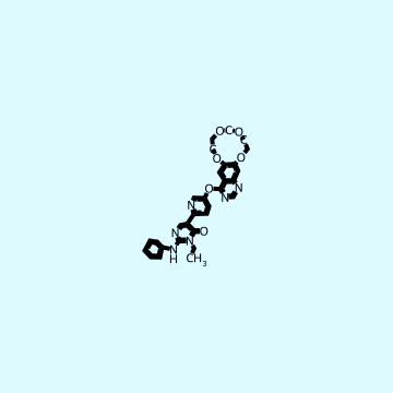 CCn1c(Nc2ccccc2)ncc(-c2ccc(Oc3ncnc4cc5c(cc34)OCCOCOCCO5)cn2)c1=O